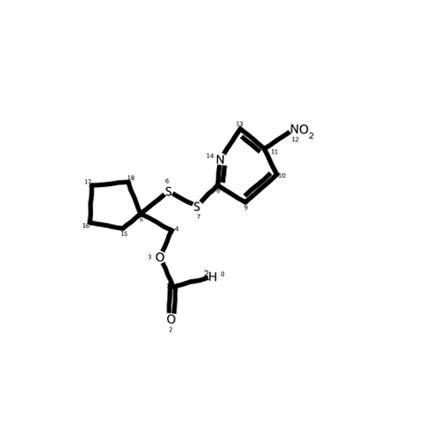 [2H]C(=O)OCC1(SSc2ccc([N+](=O)[O-])cn2)CCCC1